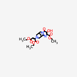 CCOC(=O)C=C(C(=O)OCC)N1CC2CC(C1)c1nc(C(=O)OCC)c(O)c(=O)n1C2